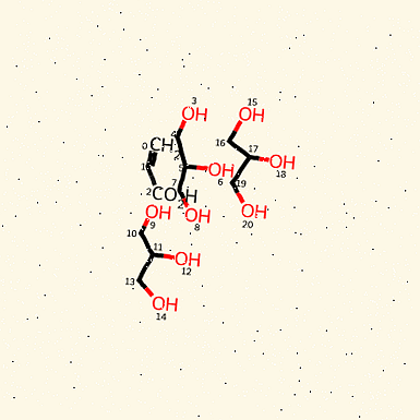 C=CC(=O)O.OCC(O)CO.OCC(O)CO.OCC(O)CO